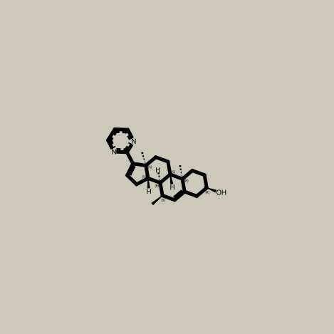 C[C@@H]1C=C2C[C@H](O)CC[C@]2(C)[C@H]2CC[C@]3(C)C(c4ncccn4)=CC[C@H]3[C@H]12